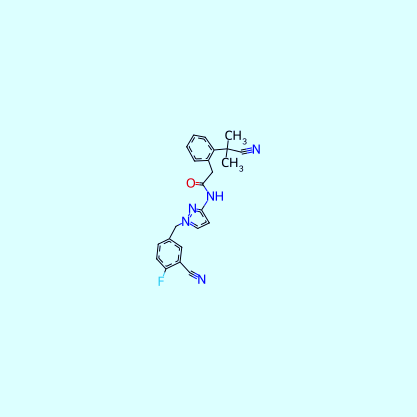 CC(C)(C#N)c1ccccc1CC(=O)Nc1ccn(Cc2ccc(F)c(C#N)c2)n1